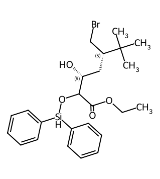 CCOC(=O)C(O[SiH](c1ccccc1)c1ccccc1)[C@H](O)C[C@H](CBr)C(C)(C)C